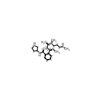 C=C(NC1CCNC1)c1ccccc1/C(CC(=C)N(C)CCCPC)=N\C